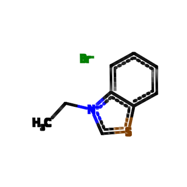 CC[n+]1csc2ccccc21.[Br-]